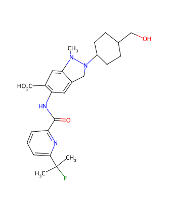 CN1c2cc(C(=O)O)c(NC(=O)c3cccc(C(C)(C)F)n3)cc2CN1C1CCC(CO)CC1